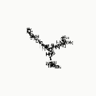 COC(=O)[C@H](CCCCNC(=O)c1cc(NC(=O)NCCOCCOCCNC(=O)OCc2ccccc2)cc(C(=O)NCCCC[C@H](NC(=O)OC(C)(C)C)C(=O)OC)c1)NC(=O)OC(C)(C)C